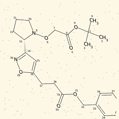 CC(C)(C)OC(=O)CON1CCC[C@H]1c1cc(CCC(=O)OCc2ccccc2)on1